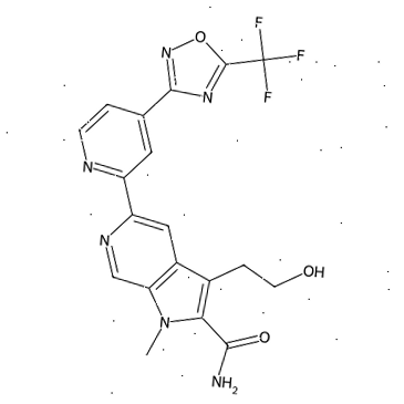 Cn1c(C(N)=O)c(CCO)c2cc(-c3cc(-c4noc(C(F)(F)F)n4)ccn3)ncc21